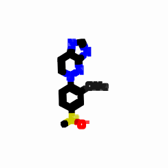 COc1cc([S+](C)[O-])ccc1-n1ccc2ncnc-2n1